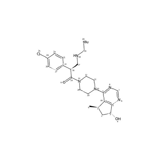 C[C@@H]1C[C@@H](O)c2ncnc(N3CCN(C(=O)[C@H](CNCC(C)(C)C)c4ccc(Cl)cc4)CC3)c21